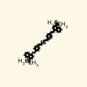 CN(C)c1ccc(/C=C/c2cc[n+](CCSSCC[n+]3ccc(CCc4ccc(N(C)C)c5ccccc45)cc3)cc2)c2ccccc12